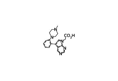 CN1CCN(c2ccccc2-c2cn(CC(=O)O)c3ncncc23)CC1